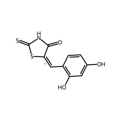 O=C1NC(=S)S/C1=C/c1ccc(O)cc1O